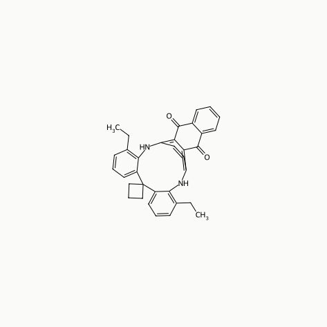 CCc1cccc2c1Nc1ccc(c3c1C(=O)c1ccccc1C3=O)Nc1c(CC)cccc1C21CCC1